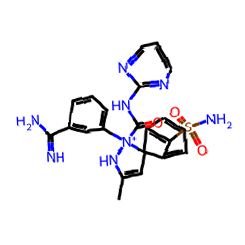 CC1=CC2(C3=CC=CC2=C3S(N)(=O)=O)[N+](C(=O)Nc2ncccn2)(c2cccc(C(=N)N)c2)N1